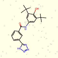 CC(C)(C)c1cc(NC(=O)c2cccc(-c3nnn[nH]3)c2)cc(C(C)(C)C)c1O